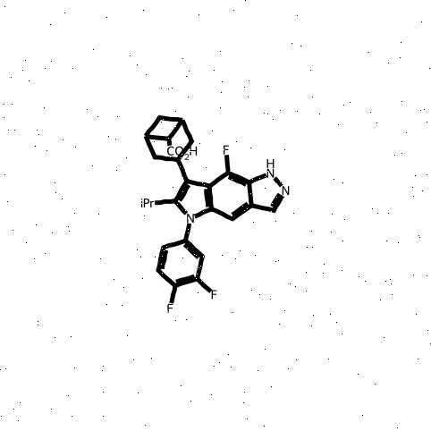 CC(C)c1c(C2CC3CC(C2)C3C(=O)O)c2c(F)c3[nH]ncc3cc2n1-c1ccc(F)c(F)c1